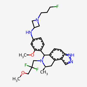 COCC(F)(F)CN1C(c2ccc(NC3CN(CCCF)C3)cc2OC)c2ccc3[nH]ncc3c2C[C@H]1C